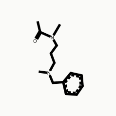 CC(=O)N(C)CCCN(C)Cc1ccccc1